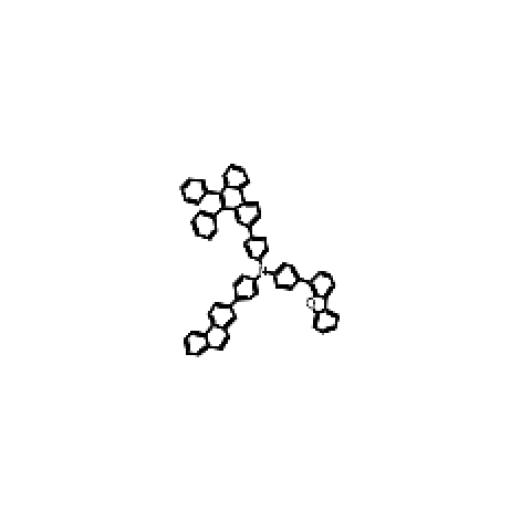 c1ccc(-c2c(-c3ccccc3)c3cc(-c4ccc(N(c5ccc(-c6ccc7c(ccc8ccccc87)c6)cc5)c5ccc(-c6cccc7c6oc6ccccc67)cc5)cc4)ccc3c3ccccc23)cc1